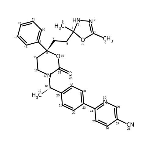 CC1=NNC(C)(CC[C@]2(c3ccccc3)CCN([C@@H](C)c3ccc(-c4ccc(C#N)cn4)cc3)C(=O)O2)O1